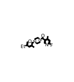 CCC1=COC(N2CCN(C(=O)c3cnc(F)cc3C)CC2)C(C)=C1